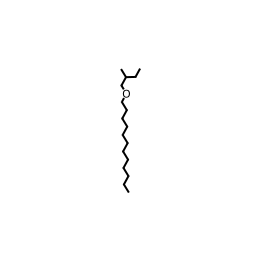 CCCCCCCCCCCCOCC(C)CC